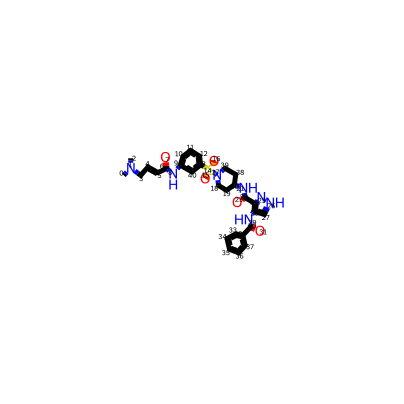 CN(C)CC=CC(=O)Nc1cccc(S(=O)(=O)N2CCC(NC(=O)c3n[nH]cc3NC(=O)c3ccccc3)CC2)c1